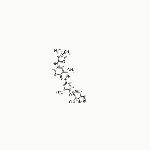 Cc1cc(-c2nc(N)c3cc(NC4=NC(C)(C)CO4)ccc3n2)ccc1Oc1ncn2cnnc2c1Cl